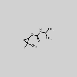 CC(C)NC(=O)OC1CC1(C)F